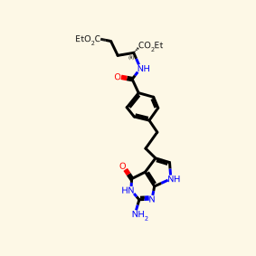 CCOC(=O)CC[C@@H](NC(=O)c1ccc(CCc2c[nH]c3nc(N)[nH]c(=O)c23)cc1)C(=O)OCC